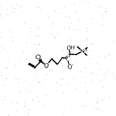 C=CC(=O)OCCC/[P+]([O-])=C(\O)C[N+](C)(C)C